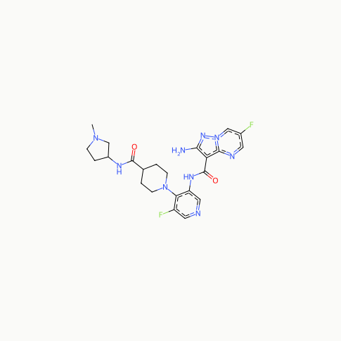 CN1CCC(NC(=O)C2CCN(c3c(F)cncc3NC(=O)c3c(N)nn4cc(F)cnc34)CC2)C1